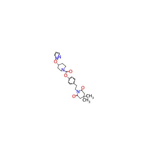 CC1(C)CC(=O)N(CCc2ccc(OC(=O)N3CCC(On4cccn4)CC3)cc2)C(=O)C1